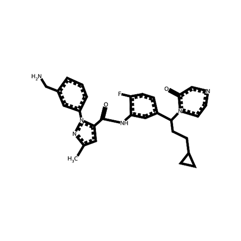 Cc1cc(C(=O)Nc2cc(C(CCC3CC3)n3ccncc3=O)ccc2F)n(-c2cccc(CN)c2)n1